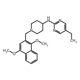 CCc1cnc(NC2CCN(Cc3cc(OC)c4ccccc4c3OC)CC2)nc1